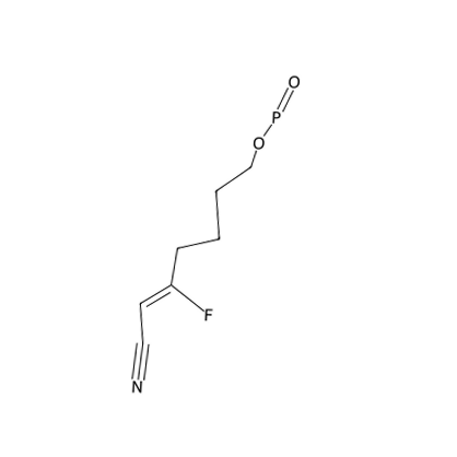 N#CC=C(F)CCCCOP=O